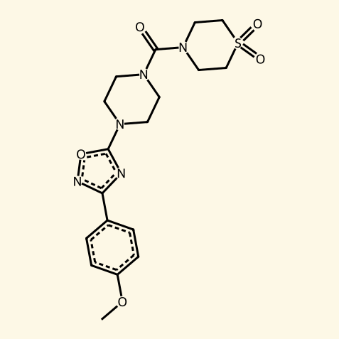 COc1ccc(-c2noc(N3CCN(C(=O)N4CCS(=O)(=O)CC4)CC3)n2)cc1